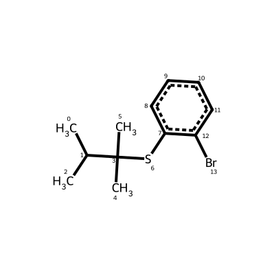 CC(C)C(C)(C)Sc1ccccc1Br